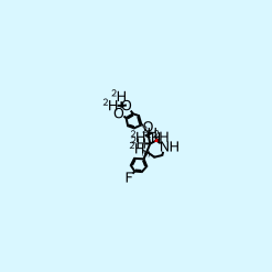 [2H]C1([2H])Oc2ccc(OC([2H])([2H])C3([2H])C([2H])([2H])NCC[C@@]3([2H])c3ccc(F)cc3)cc2O1